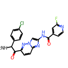 CC(=O)NC(C(=O)c1ccc2nc(NC(=O)c3ccnc(F)c3)cn2n1)c1ccc(Cl)cc1